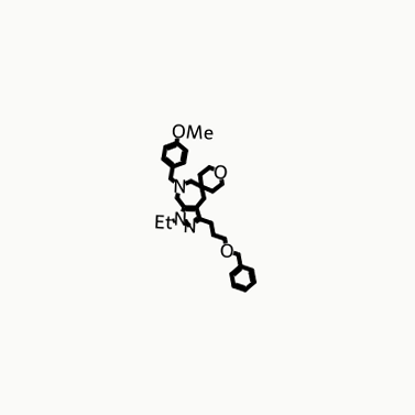 CCn1nc(CCCOCc2ccccc2)c2c1CN(Cc1ccc(OC)cc1)CC1(CCOCC1)C2